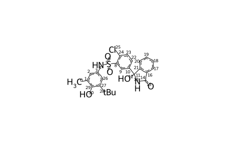 Cc1cc(NS(=O)(=O)c2cc(C3(O)NC(=O)c4ccccc43)ccc2Cl)cc(C(C)(C)C)c1O